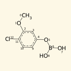 COc1cc(OB(O)O)ccc1Cl